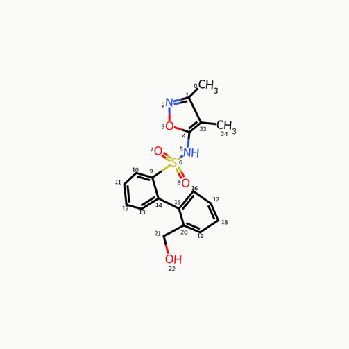 Cc1noc(NS(=O)(=O)c2ccccc2-c2ccccc2CO)c1C